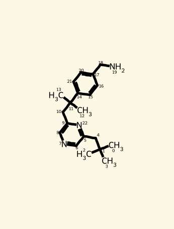 CC(C)(C)Cc1cncc(CC(C)(C)c2ccc(CN)cc2)n1